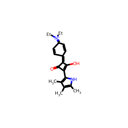 CC[N+](CC)=C1C=CC(=C2C(=O)C(c3[nH]c(C)c(C)c3C)=C2O)C=C1